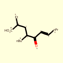 CCCC=CC(=O)C(CCCC)CC(CC)C(=O)O